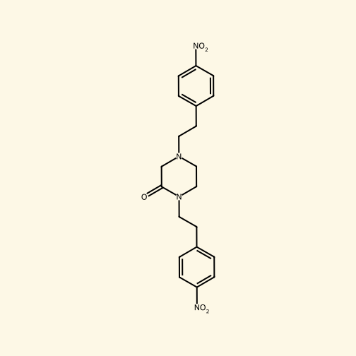 O=C1CN(CCc2ccc([N+](=O)[O-])cc2)CCN1CCc1ccc([N+](=O)[O-])cc1